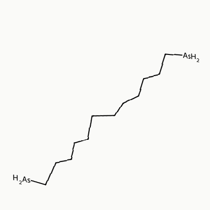 [AsH2]CCCCCCCCCCCC[AsH2]